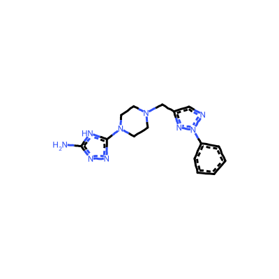 Nc1nnc(N2CCN(Cc3cnn(-c4ccccc4)n3)CC2)[nH]1